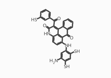 Nc1cc(Nc2ccc3[nH]c(=O)c(C(=O)c4cccc(S)c4)c4c3c2C(=O)c2ccccc2-4)c(S)cc1S